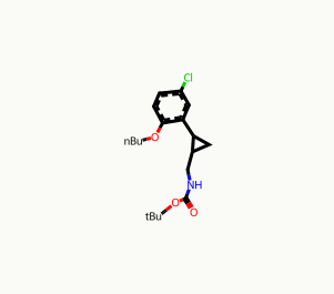 CCCCOc1ccc(Cl)cc1C1CC1CNC(=O)OC(C)(C)C